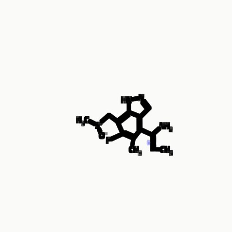 C/C=C(\N)c1c(C)c(F)c(C[S+](C)[O-])c2[nH]ncc12